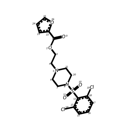 O=C(OCCN1CCN(S(=O)(=O)c2c(Cl)cccc2Cl)CC1)c1ccco1